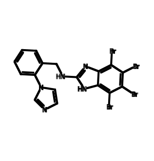 Brc1c(Br)c(Br)c2[nH]c(NCc3ccccc3-n3ccnc3)nc2c1Br